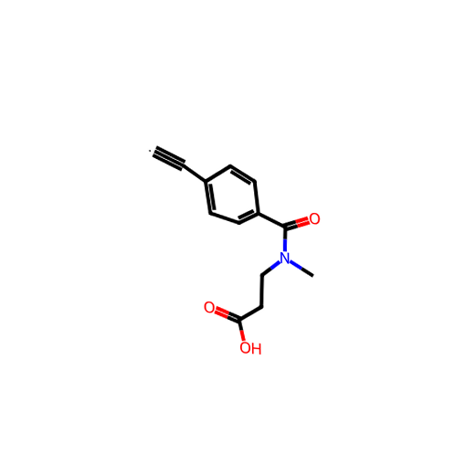 [C]#Cc1ccc(C(=O)N(C)CCC(=O)O)cc1